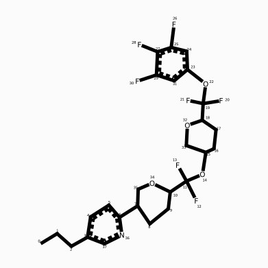 CCCc1ccc(C2CCC(C(F)(F)OC3CCC(C(F)(F)Oc4cc(F)c(F)c(F)c4)OC3)OC2)nc1